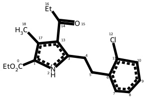 CCOC(=O)c1[nH]c(CCc2ccccc2Cl)c(C(=O)CC)c1C